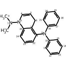 CN(C)N1C=CCc2c(N(c3ccccc3)c3ccccc3)cccc21